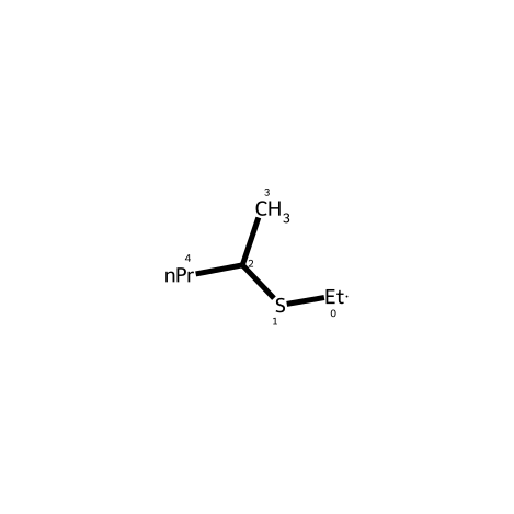 C[CH]SC(C)CCC